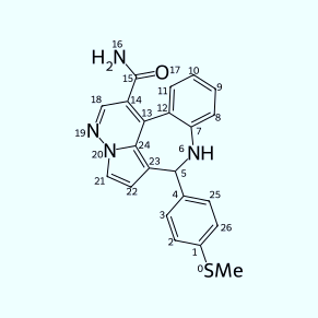 CSc1ccc(C2Nc3ccccc3-c3c(C(N)=O)cnn4ccc2c34)cc1